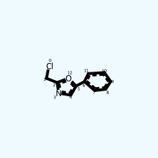 ClCc1ncc(-c2ccccc2)o1